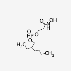 CCCCC(CC)CO[PH](=O)OCCC(=O)NO